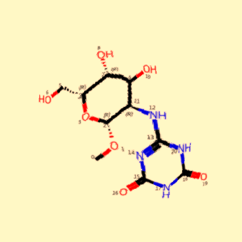 CO[C@@H]1O[C@H](CO)[C@H](O)C(O)[C@H]1Nc1nc(=O)[nH]c(=O)[nH]1